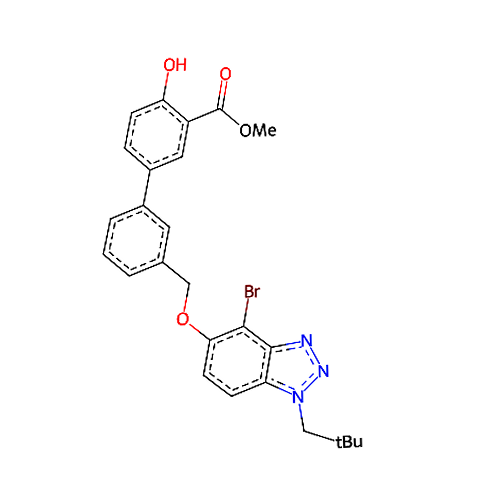 COC(=O)c1cc(-c2cccc(COc3ccc4c(nnn4CC(C)(C)C)c3Br)c2)ccc1O